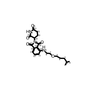 CC(C)CCCOCCNc1cccc2c1C(=O)N(C1CCC(=O)NC1=O)C2=O